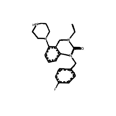 CCN1Cc2c(N3CCNCC3)cccc2N(Cc2ccc(F)cc2)C1=O